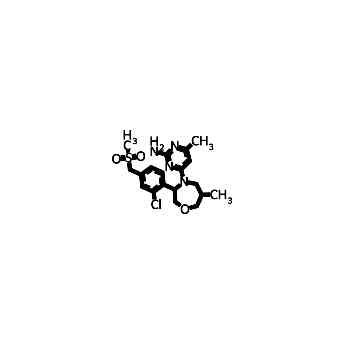 Cc1cc(N2CC(C)COCC2c2ccc(CS(C)(=O)=O)cc2Cl)nc(N)n1